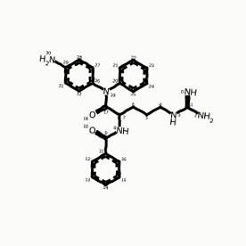 N=C(N)NCCCC(NC(=O)c1ccccc1)C(=O)N(c1ccccc1)c1ccc(N)cc1